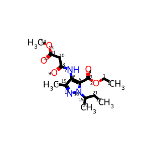 CCOC(=O)c1c(NC(=O)CC(=O)OC)c(C)nn1C(C)CC